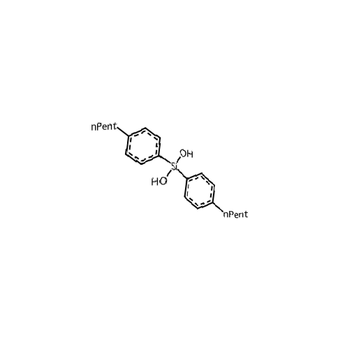 CCCCCc1ccc([Si](O)(O)c2ccc(CCCCC)cc2)cc1